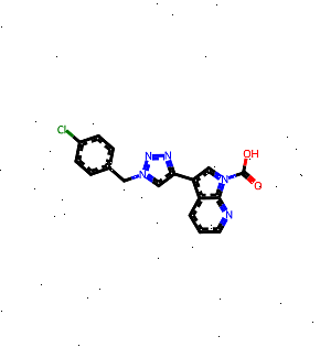 O=C(O)n1cc(-c2cn(Cc3ccc(Cl)cc3)nn2)c2cccnc21